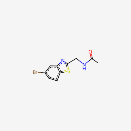 CC(=O)NCc1nc2cc(Br)ccc2s1